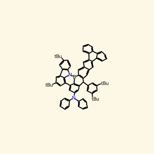 CC(C)(C)c1cc(C2c3cc4cc5c6ccccc6c6ccccc6c5cc4cc3B3c4c(cc(N(c5ccccc5)c5ccccc5)cc42)-c2cc(C(C)(C)C)cc4c5cc(C(C)(C)C)ccc5n3c24)cc(C(C)(C)C)c1